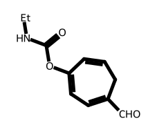 CCNC(=O)OC1=CC=C(C=O)CC=C1